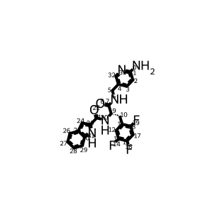 Nc1ccc(CNC(=O)[C@H](Cc2cc(F)c(F)cc2F)NC(=O)c2cc3ccccc3[nH]2)cn1